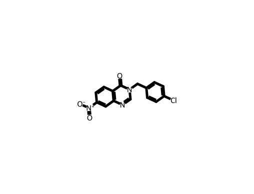 O=c1c2ccc([N+](=O)[O-])cc2ncn1Cc1ccc(Cl)cc1